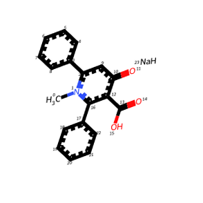 Cn1c(-c2ccccc2)cc(=O)c(C(=O)O)c1-c1ccccc1.[NaH]